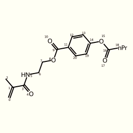 C=C(C)C(=O)NCCOC(=O)c1ccc(OC(=O)CCC)cc1